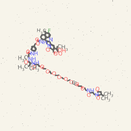 CC[C@@]1(O)C(=O)OCc2c1cc1n(c2=O)Cc2c-1nc1cc(F)c(C)c3c1c2[C@@H](NC(=O)OCc1ccc(NC(=O)[C@H](C)NC(=O)[C@@H](NC(=O)CCOCCOCCOCCOCCOCCOCCOCCOCCNC(=O)CCN2C(=O)CC(C(C)C)C2=O)C(C)C)cc1)CC3